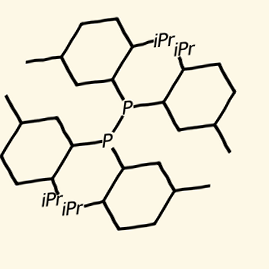 CC1CCC(C(C)C)C(P(C2CC(C)CCC2C(C)C)P(C2CC(C)CCC2C(C)C)C2CC(C)CCC2C(C)C)C1